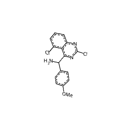 COc1ccc(C(N)c2nc(Cl)nc3cccc(Cl)c23)cc1